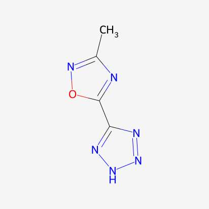 Cc1noc(-c2nn[nH]n2)n1